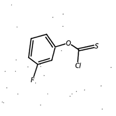 Fc1cccc(OC(=S)Cl)c1